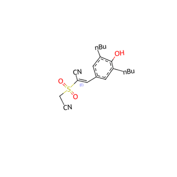 CCCCc1cc(/C=C(\C#N)S(=O)(=O)CC#N)cc(CCCC)c1O